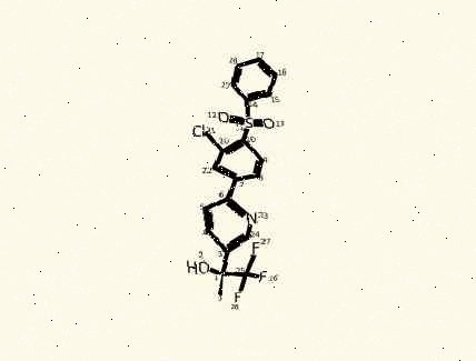 C[C@@](O)(c1ccc(-c2ccc(S(=O)(=O)c3ccccc3)c(Cl)c2)nc1)C(F)(F)F